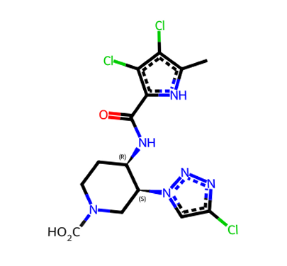 Cc1[nH]c(C(=O)N[C@@H]2CCN(C(=O)O)C[C@@H]2n2cc(Cl)nn2)c(Cl)c1Cl